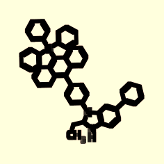 CCC1Nc2ccc(-c3ccccc3)cc2N1c1ccc(-c2c3ccccc3c([Si](c3ccccc3)(c3ccccc3)c3ccccc3)c3ccccc23)cc1